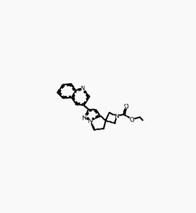 CCOC(=O)N1CC2(CCn3nc(-c4cnc5ccccc5c4)cc32)C1